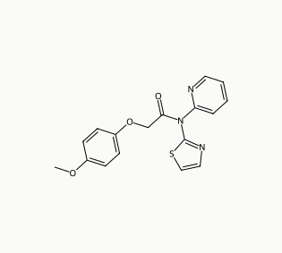 COc1ccc(OCC(=O)N(c2ccccn2)c2nccs2)cc1